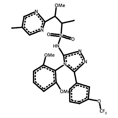 COc1cccc(OC)c1-n1c(NS(=O)(=O)C(C)C(OC)c2ncc(C)cn2)nnc1-c1cccc(OC(F)(F)F)c1